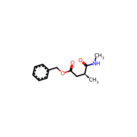 CNC(=O)[C@@H](C)CC(=O)OCc1ccccc1